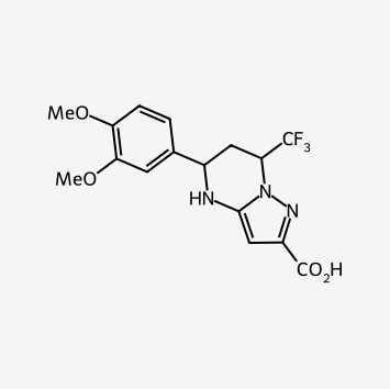 COc1ccc(C2CC(C(F)(F)F)n3nc(C(=O)O)cc3N2)cc1OC